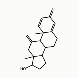 C=C1CC2(C)C(O)CCC2C2CCC3=CC(=O)C=CC3(C)C12